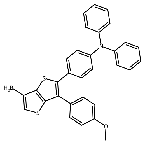 Bc1csc2c(-c3ccc(OC)cc3)c(-c3ccc(N(c4ccccc4)c4ccccc4)cc3)sc12